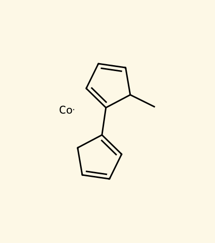 CC1C=CC=C1C1=CC=CC1.[Co]